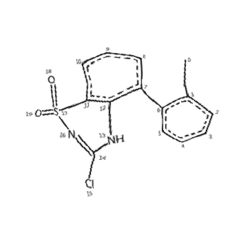 Cc1ccccc1-c1cccc2c1NC(Cl)=NS2(=O)=O